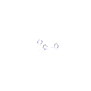 OCc1cncc(-c2cc(OCc3ncc(F)cc3F)nc3c2CCCC3)n1